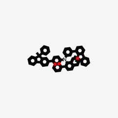 CC1(C)c2ccccc2-c2cccc(-c3cccc(N(c4ccc(-c5ccc6c(c5)C(C)(c5ccccc5)c5ccccc5-6)cc4)c4c(-c5ccccc5)ccc5ccccc45)c3)c21